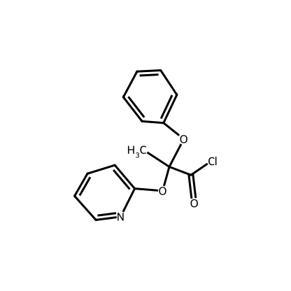 CC(Oc1ccccc1)(Oc1ccccn1)C(=O)Cl